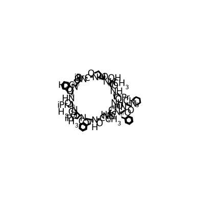 CC(C)CC1C(=O)N(C)[C@@H](CC(C)C)C(=O)N[C@@H](Cc2ccccc2)C(=O)N(C)[C@@H](CC(C)C)C(=O)NCC(=O)N2CCC[C@H]2C(=O)N[C@@H]([C@@H](C)O)C(=O)N[C@@H](CC(C)C)C(=O)N[C@H](C(=O)N(C)[C@@H](Cc2ccccc2)C(=O)N[C@@H](C)C(=O)N2CCCCC2)CC(=O)N(C)CC(=O)N[C@@H](Cc2ccccc2)C(=O)N1C